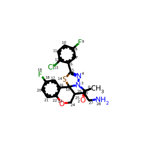 CC(=O)N1N=C(c2cc(F)ccc2Cl)SC12c1cc(F)ccc1OCC2CCN